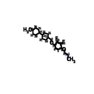 C/C=C/Oc1ccc(OCC2CCC(C3CCC(C)CC3)CC2)c(F)c1F